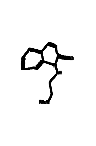 CNCCNn1c(=O)ccc2ccccc21